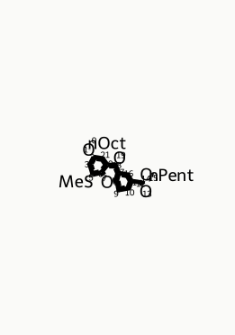 CCCCCCCCOc1cc(SC)c2oc3ccc(C(=O)OCCCCC)cc3c(=O)c2c1